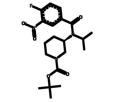 CC(C)N(C(=O)c1ccc(F)c([N+](=O)[O-])c1)[C@@H]1CCCN(C(=O)OC(C)(C)C)C1